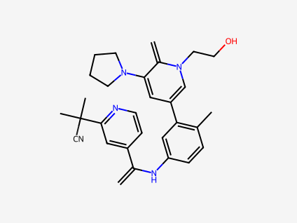 C=C(Nc1ccc(C)c(C2=CN(CCO)C(=C)C(N3CCCC3)=C2)c1)c1ccnc(C(C)(C)C#N)c1